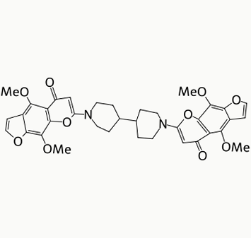 COc1c2occc2c(OC)c2c(=O)cc(N3CCC(C4CCN(c5cc(=O)c6c(OC)c7ccoc7c(OC)c6o5)CC4)CC3)oc12